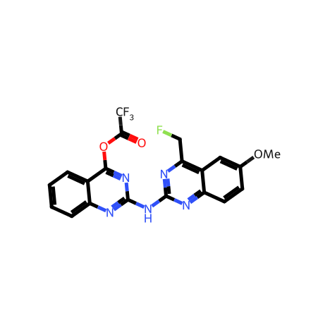 COc1ccc2nc(Nc3nc(OC(=O)C(F)(F)F)c4ccccc4n3)nc(CF)c2c1